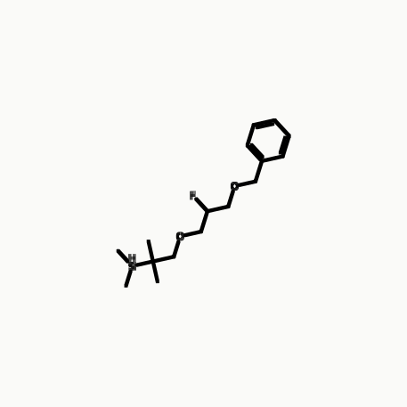 C[SiH](C)C(C)(C)COCC(F)COCc1ccccc1